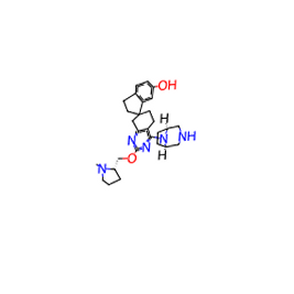 CN1CCC[C@H]1COc1nc2c(c(N3[C@@H]4CC[C@H]3CNC4)n1)CCC1(CCc3ccc(O)cc31)C2